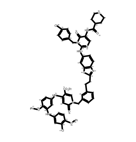 CCOC(=O)c1cn(Cc2cccc(CCc3nc4ccc(Nc5ncc(NC(=O)C6CCOCC6)c(=O)n5Cc5ccc(Cl)cc5)cc4s3)c2)c(=O)cc1Nc1ccc(OC(C)C)c(Nc2ccc(OC(C)C)c(Cl)c2)c1